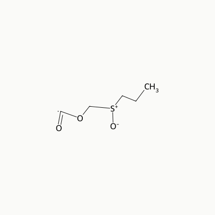 CCC[S+]([O-])CO[C]=O